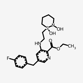 CCOC(=O)c1ncc(Cc2ccc(F)cc2)cc1NCCS1(O)CCCCN1O